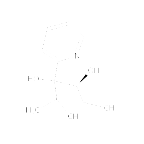 CC[C@H](O)C(O)(c1ccccn1)C(C)C